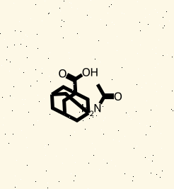 CC(N)=O.O=C(O)C12CC3CC(CC(C3)C1)C2